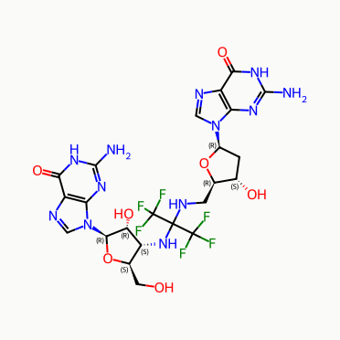 Nc1nc2c(ncn2[C@@H]2O[C@H](CO)[C@@H](NC(NC[C@H]3O[C@@H](n4cnc5c(=O)[nH]c(N)nc54)C[C@@H]3O)(C(F)(F)F)C(F)(F)F)[C@H]2O)c(=O)[nH]1